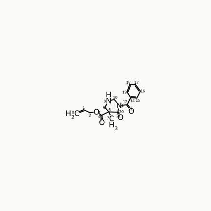 C=CCOC(=O)C1(C)CNCN(C(=O)c2ccccc2)C1=O